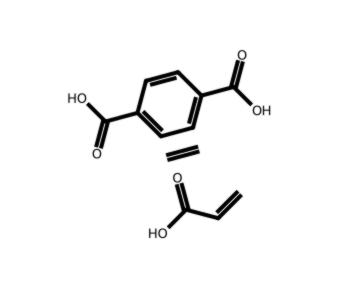 C=C.C=CC(=O)O.O=C(O)c1ccc(C(=O)O)cc1